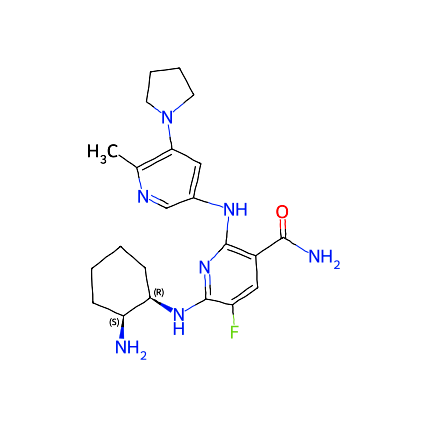 Cc1ncc(Nc2nc(N[C@@H]3CCCC[C@@H]3N)c(F)cc2C(N)=O)cc1N1CCCC1